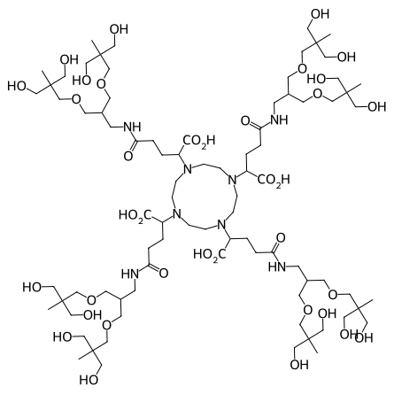 CC(CO)(CO)COCC(CNC(=O)CCC(C(=O)O)N1CCN(C(CCC(=O)NCC(COCC(C)(CO)CO)COCC(C)(CO)CO)C(=O)O)CCN(C(CCC(=O)NCC(COCC(C)(CO)CO)COCC(C)(CO)CO)C(=O)O)CCN(C(CCC(=O)NCC(COCC(C)(CO)CO)COCC(C)(CO)CO)C(=O)O)CC1)COCC(C)(CO)CO